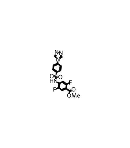 COC(=O)c1cc(F)c(NS(=O)(=O)c2ccc(-n3cnnc3)cc2)cc1F